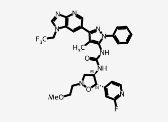 COCCN1C[C@@H](NC(=O)Nc2c(C)c(-c3cnc4ncn(CC(F)(F)F)c4c3)nn2-c2ccccc2)[C@H](c2ccnc(F)c2)O1